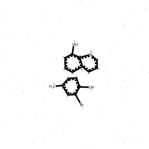 Cc1ccc(O)c(Br)c1.Oc1cccc2cccnc12